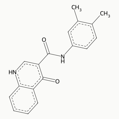 Cc1ccc(NC(=O)c2c[nH]c3ccccc3c2=O)cc1C